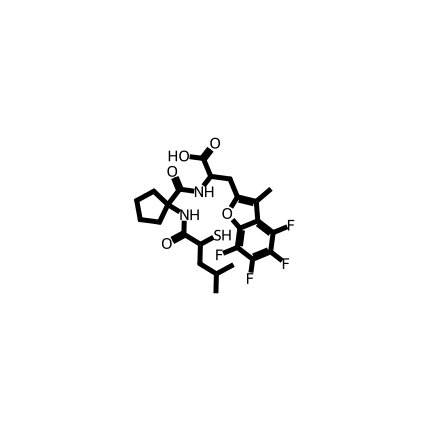 Cc1c(CC(NC(=O)C2(NC(=O)C(S)CC(C)C)CCCC2)C(=O)O)oc2c(F)c(F)c(F)c(F)c12